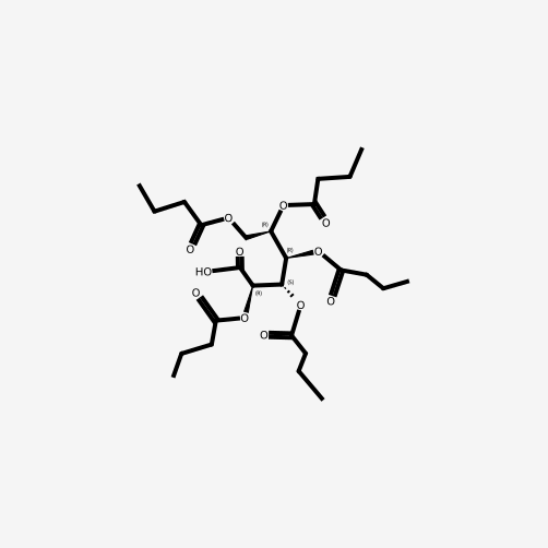 CCCC(=O)OC[C@@H](OC(=O)CCC)[C@@H](OC(=O)CCC)[C@H](OC(=O)CCC)[C@@H](OC(=O)CCC)C(=O)O